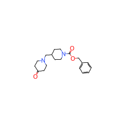 O=C1CCN(CC2CCN(C(=O)OCc3ccccc3)CC2)CC1